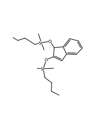 CCCC[Si](C)(C)O[C]1C(O[Si](C)(C)CCCC)=Cc2ccccc21